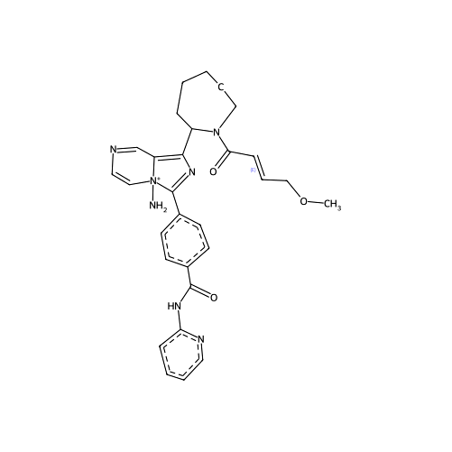 COC/C=C/C(=O)N1CCCCCC1C1=C2C=NC=C[N+]2(N)C(c2ccc(C(=O)Nc3ccccn3)cc2)=N1